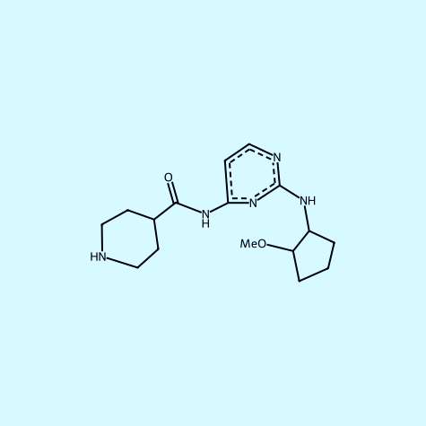 COC1CCCC1Nc1nccc(NC(=O)C2CCNCC2)n1